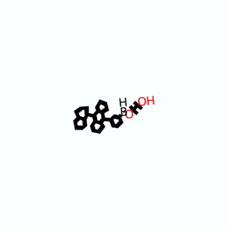 CC(C)(O)C(C)(C)OBc1cccc(-c2c3ccccc3c(-c3cccc4ccccc34)c3ccccc23)c1